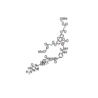 COCCOC(=O)CCC(=O)Oc1ccc2c(c1)Oc1cc(OC(=O)CCC(=O)OCCOC)ccc1C21OC(=O)c2cc(NC(=S)Nc3ccc(CNC(=O)CCC(NC(=O)c4ccc(NCc5cnc6nc(N)[nH]c(=O)c6n5)cc4)C(=O)O)cc3)ccc21